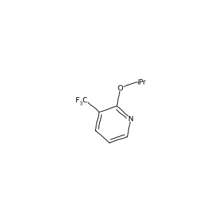 CC(C)Oc1ncccc1C(F)(F)F